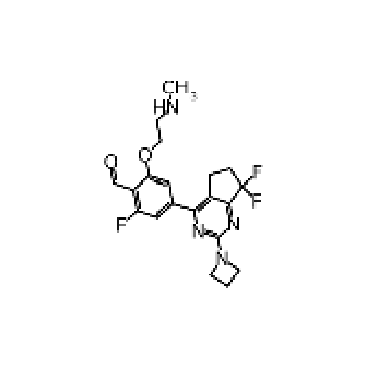 CNCCOc1cc(-c2nc(N3CCC3)nc3c2CCC3(F)F)cc(F)c1C=O